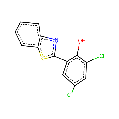 Oc1c(Cl)cc(Cl)cc1-c1nc2ccccc2s1